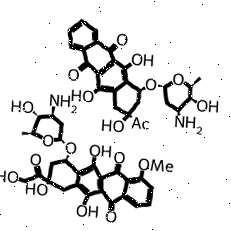 CC(=O)[C@]1(O)Cc2c(O)c3c(c(O)c2[C@@H](O[C@H]2C[C@H](N)[C@H](O)[C@H](C)O2)C1)C(=O)c1ccccc1C3=O.COc1cccc2c1C(=O)c1c(O)c3c(c(O)c1C2=O)C[C@@](O)(C(=O)CO)C[C@@H]3O[C@H]1C[C@H](N)[C@@H](O)[C@H](C)O1